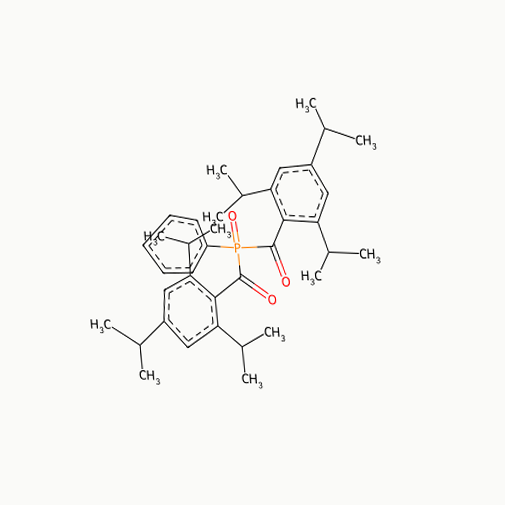 CC(C)c1cc(C(C)C)c(C(=O)P(=O)(C(=O)c2c(C(C)C)cc(C(C)C)cc2C(C)C)c2ccccc2)c(C(C)C)c1